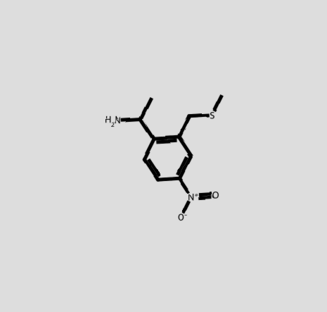 CSCc1cc([N+](=O)[O-])ccc1C(C)N